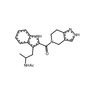 CC(=O)NC(C)Cc1c(C(=O)N2CCc3n[nH]cc3C2)[nH]c2ccccc12